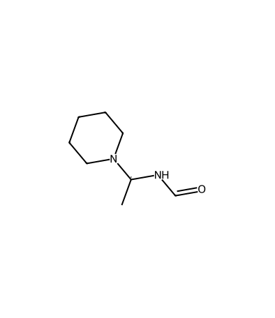 C[C](NC=O)N1CCCCC1